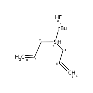 C=CC[SiH](CC=C)CCCC.F